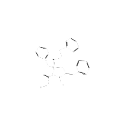 CC(C)(C)OC(=O)N1C(O)C(Cc2ccccc2)CC1(Cc1ccccc1)C(=O)OCc1ccccc1